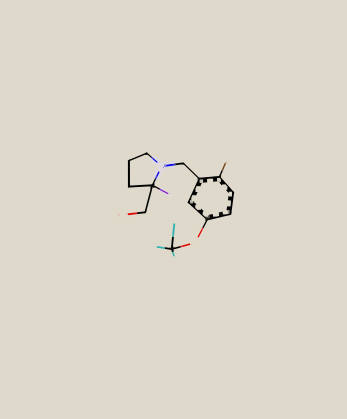 OCC1(I)CCCN1Cc1cc(OC(F)(F)F)ccc1Br